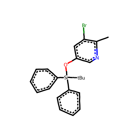 Cc1ncc(O[Si](c2ccccc2)(c2ccccc2)C(C)(C)C)cc1Br